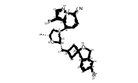 C[C@@H]1CN(c2ccc(C#N)n3ncc(F)c23)C[C@H](CC2CC3(C2)OCc2cc(Br)ccc23)O1